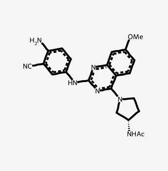 COc1ccc2c(N3CC[C@H](NC(C)=O)C3)nc(Nc3ccc(N)c(C#N)c3)nc2c1